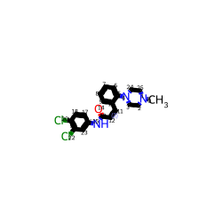 CN1CCN(c2ccccc2/C=C\C(=O)Nc2ccc(Cl)c(Cl)c2)CC1